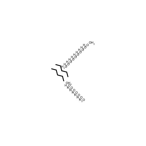 CCCCC.CCCCC.O.O.O.O.O.O.O.O.O.O.O.O.O.O.O.O.O.O.O